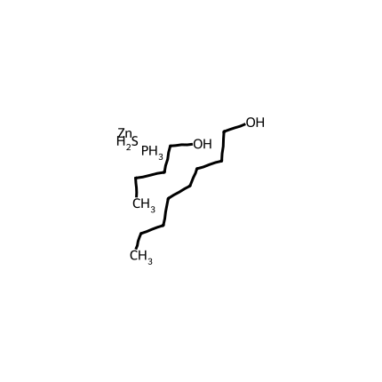 CCCCCCCCO.CCCCO.P.S.[Zn]